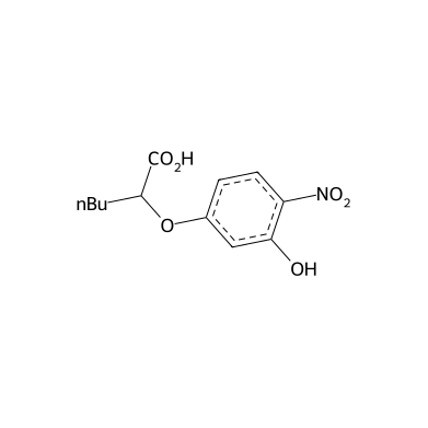 CCCCC(Oc1ccc([N+](=O)[O-])c(O)c1)C(=O)O